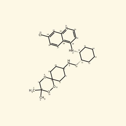 CC1(C)COC2(CCC(NC[C@H]3CCCC[C@H]3Nc3ccnc4cc(Cl)ccc34)CC2)OO1